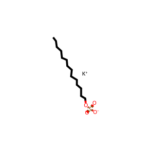 CCCCCCCCCCCCCCOS(=O)(=O)[O-].[K+]